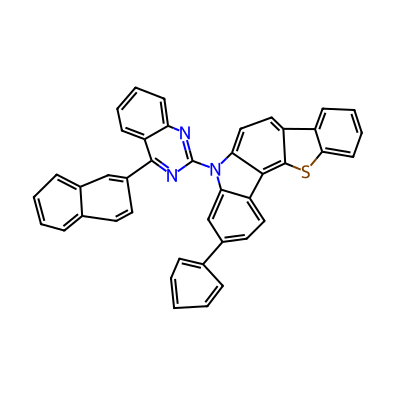 c1ccc(-c2ccc3c4c5sc6ccccc6c5ccc4n(-c4nc(-c5ccc6ccccc6c5)c5ccccc5n4)c3c2)cc1